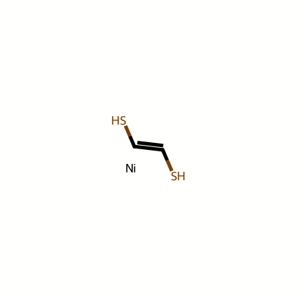 SC=CS.[Ni]